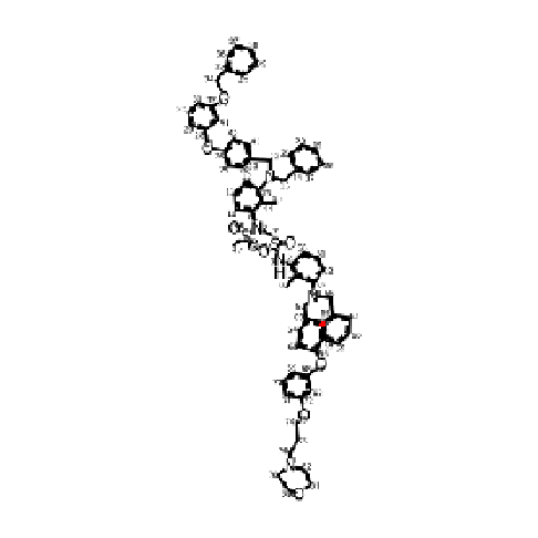 Cc1c(NS(=O)(=O)CN(c2cccc(N(Cc3ccccc3)Cc3ccc(Oc4cccc(OCc5ccccc5)c4)cc3)c2C)S(C)(=O)=O)cccc1N(Cc1ccccc1)Cc1ccc(Oc2cccc(OCCCN3CCOCC3)c2)cc1